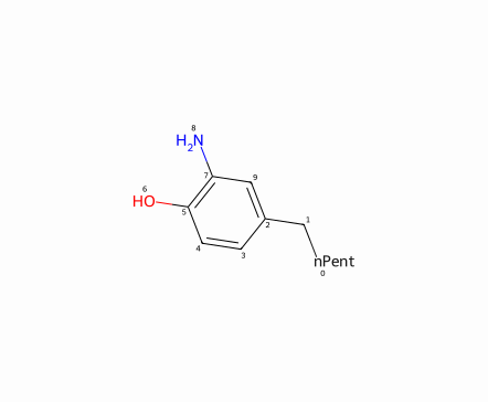 CCCCCCc1ccc(O)c(N)c1